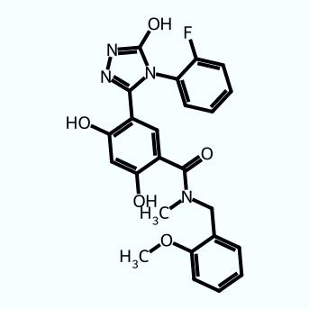 COc1ccccc1CN(C)C(=O)c1cc(-c2nnc(O)n2-c2ccccc2F)c(O)cc1O